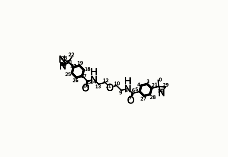 CC1(c2ccc(C(=O)NCCOCCNC(=O)c3ccc(C4(C)N=N4)cc3)cc2)C=N1